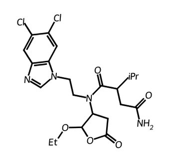 CCOC1OC(=O)CC1N(CCn1cnc2cc(Cl)c(Cl)cc21)C(=O)C(CC(N)=O)C(C)C